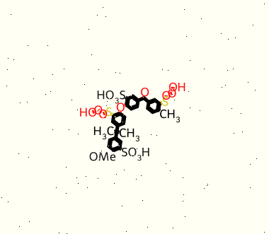 COc1ccc(C(C)(C)c2ccc(Oc3ccc(C(=O)c4ccc(C)c(SOOO)c4)cc3S(=O)(=O)O)c(SOOO)c2)cc1S(=O)(=O)O